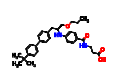 CCCOC[C@H](Cc1ccc(-c2ccc(C(C)(C)C)cc2)cc1)Nc1ccc(C(=O)NCCC(=O)O)cc1